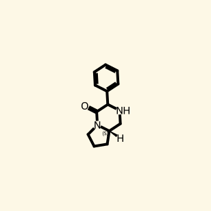 O=C1C(c2ccccc2)NC[C@@H]2CCCN12